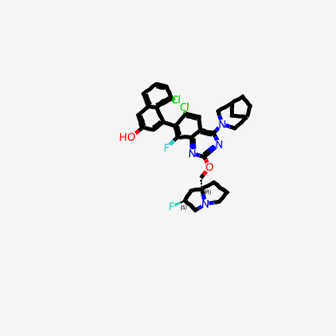 Oc1cc(-c2c(Cl)cc3c(N4CC5CCC(C5)C4)nc(OC[C@]45CCCN4C[C@@H](F)C5)nc3c2F)c2c(Cl)cccc2c1